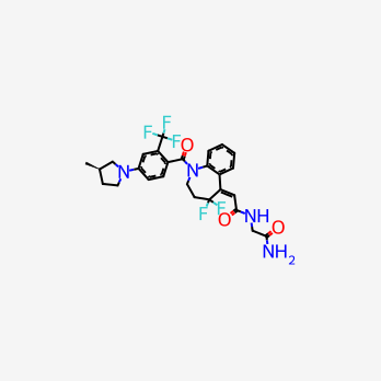 C[C@@H]1CCN(c2ccc(C(=O)N3CCC(F)(F)/C(=C\C(=O)NCC(N)=O)c4ccccc43)c(C(F)(F)F)c2)C1